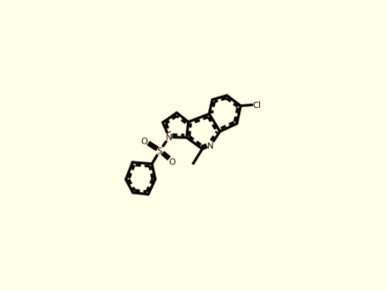 Cc1nc2cc(Cl)ccc2c2ccn(S(=O)(=O)c3ccccc3)c12